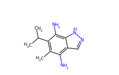 Cc1c(C(C)C)c(N)c2[nH]ncc2c1N